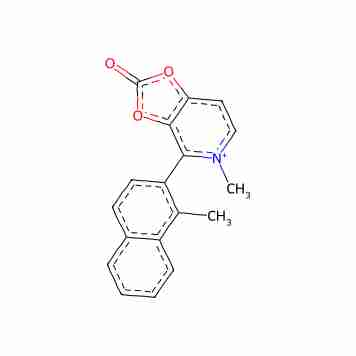 Cc1c(-c2c3oc(=O)oc3cc[n+]2C)ccc2ccccc12